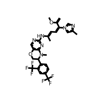 C=C(OC)/C(=C\C=C(/C)Nc1ncc2c(n1)N(C)C(c1ccc(C(F)(F)F)cc1C(F)(F)F)CO2)n1cnc(C)c1